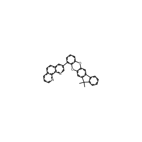 CC1(C)c2ccccc2-c2cc3c(cc21)Oc1c(cccc1-c1cnc2c(ccc4cccnc42)c1)O3